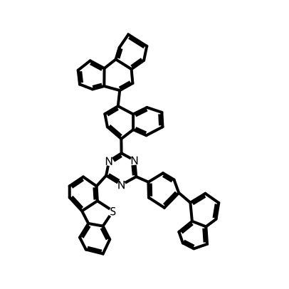 c1ccc2c(-c3ccc(-c4nc(-c5ccc(-c6cc7ccccc7c7ccccc67)c6ccccc56)nc(-c5cccc6c5sc5ccccc56)n4)cc3)cccc2c1